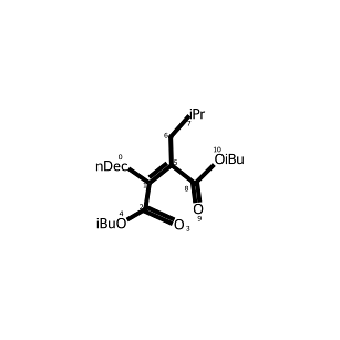 CCCCCCCCCC/C(C(=O)OCC(C)C)=C(\CC(C)C)C(=O)OCC(C)C